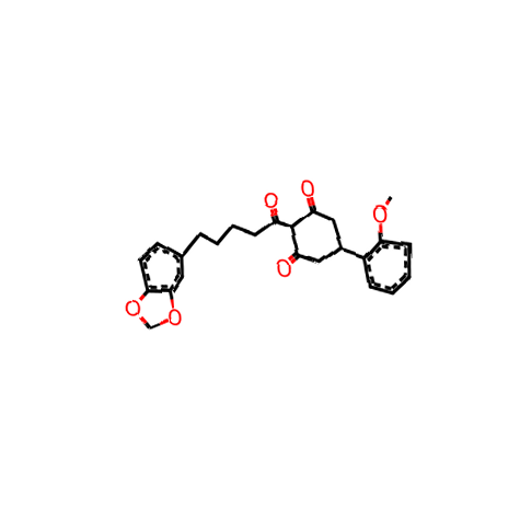 COc1ccccc1C1CC(=O)C(C(=O)CCCCc2ccc3c(c2)OCO3)C(=O)C1